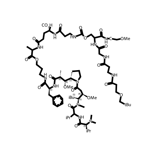 CC[C@H](C)[C@@H]([C@@H](CC(=O)N1CCC[C@H]1[C@H](OC)[C@@H](C)C(=O)N[C@@H](Cc1ccccc1)C(=O)NCCCOC(=O)C(C)NC(=O)CCC(NC(=O)CCNC(=O)OCC(NC(=O)CNC(=O)CCNC(=O)CCOCC(C)(C)C)C(=O)NCCOC)C(=O)O)OC)N(C)C(=O)C(NC(=O)[C@H](C(C)C)N(C)C)C(C)C